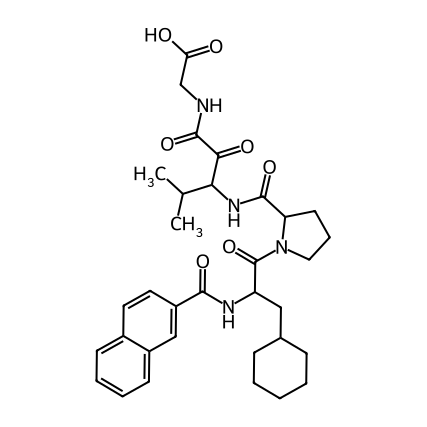 CC(C)C(NC(=O)C1CCCN1C(=O)C(CC1CCCCC1)NC(=O)c1ccc2ccccc2c1)C(=O)C(=O)NCC(=O)O